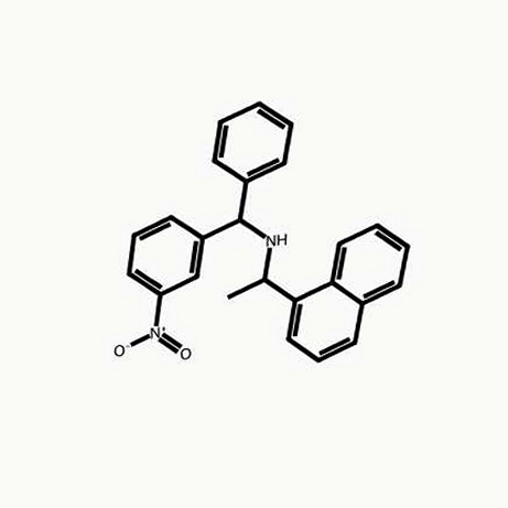 CC(NC(c1ccccc1)c1cccc([N+](=O)[O-])c1)c1cccc2ccccc12